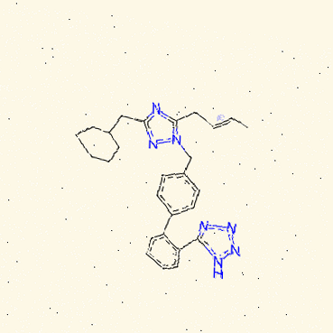 C/C=C/Cc1nc(CC2CCCCC2)nn1Cc1ccc(-c2ccccc2-c2nnn[nH]2)cc1